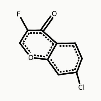 O=c1c(F)coc2cc(Cl)ccc12